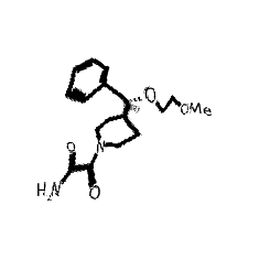 COCCO[C@@H](c1ccccc1)C1CCN(C(=O)C(N)=O)C1